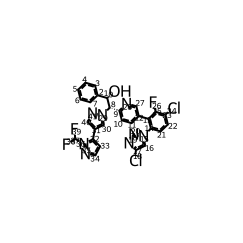 O[C@H](c1ccccc1)[C@H](c1ccc(-c2c(-n3cc(Cl)nn3)ccc(Cl)c2F)cn1)n1cc(-c2ccnn2C(F)F)cn1